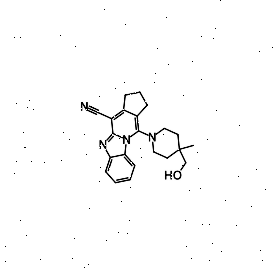 CC1(CO)CCN(c2c3c(c(C#N)c4nc5ccccc5n24)CCC3)CC1